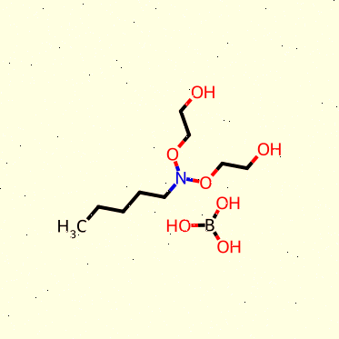 CCCCCN(OCCO)OCCO.OB(O)O